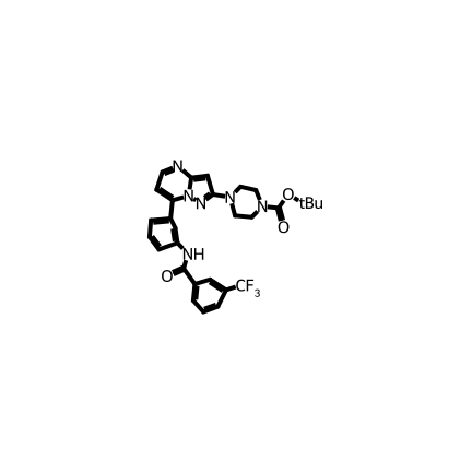 CC(C)(C)OC(=O)N1CCN(c2cc3nccc(-c4cccc(NC(=O)c5cccc(C(F)(F)F)c5)c4)n3n2)CC1